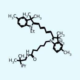 CCN1\C(=C/C=C/C=C/C2=[N+](CCCCCC(=O)NCC(C)(C)C(C)C)c3ccc(C)cc3C2(C)C)C(C)(C)c2cc(C)ccc21